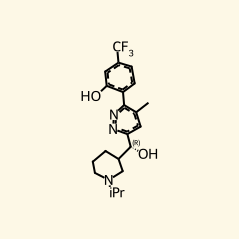 Cc1cc([C@H](O)C2CCCN(C(C)C)C2)nnc1-c1ccc(C(F)(F)F)cc1O